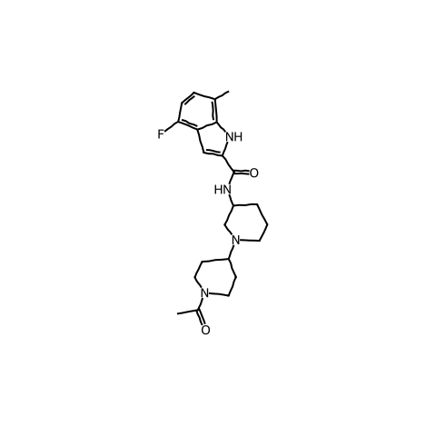 CC(=O)N1CCC(N2CCCC(NC(=O)c3cc4c(F)ccc(C)c4[nH]3)C2)CC1